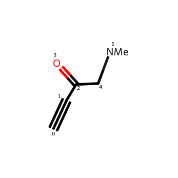 C#CC(=O)CNC